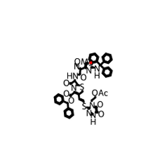 CON=C(C(=O)NC1C(=O)N2C(C(=O)OC(c3ccccc3)c3ccccc3)=C(C=CSc3n[nH]c(=O)c(=O)n3CCOC(C)=O)CSC12)c1csc(NC(c2ccccc2)(c2ccccc2)c2ccccc2)n1